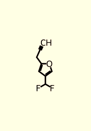 C#CCc1cc(C(F)F)co1